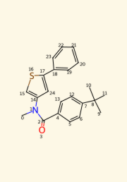 CN(C(=O)c1ccc(C(C)(C)C)cc1)c1csc(-c2ccccc2)c1